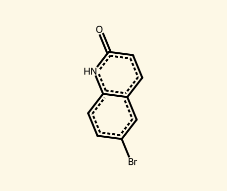 O=c1ccc2cc(Br)ccc2[nH]1